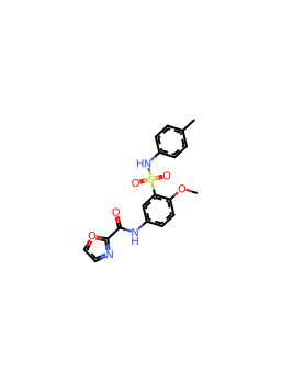 COc1ccc(NC(=O)c2ncco2)cc1S(=O)(=O)Nc1ccc(C)cc1